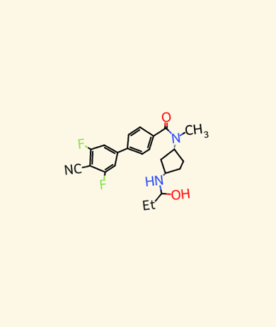 CCC(O)N[C@H]1CC[C@@H](N(C)C(=O)c2ccc(-c3cc(F)c(C#N)c(F)c3)cc2)C1